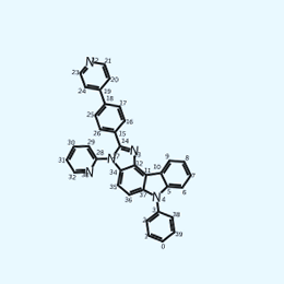 c1ccc(-n2c3ccccc3c3c4nc(-c5ccc(-c6ccncc6)cc5)n(-c5ccccn5)c4ccc32)cc1